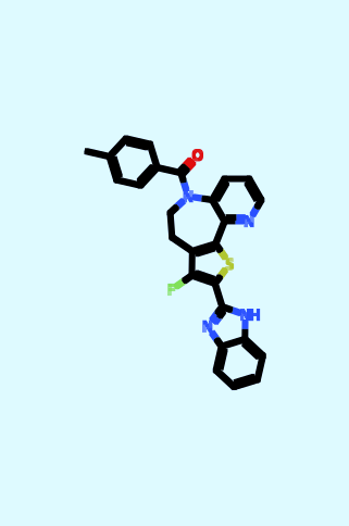 Cc1ccc(C(=O)N2CCc3c(sc(-c4nc5ccccc5[nH]4)c3F)-c3ncccc32)cc1